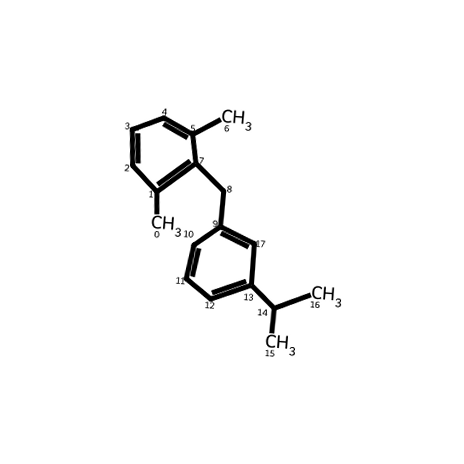 Cc1c[c]cc(C)c1Cc1cccc(C(C)C)c1